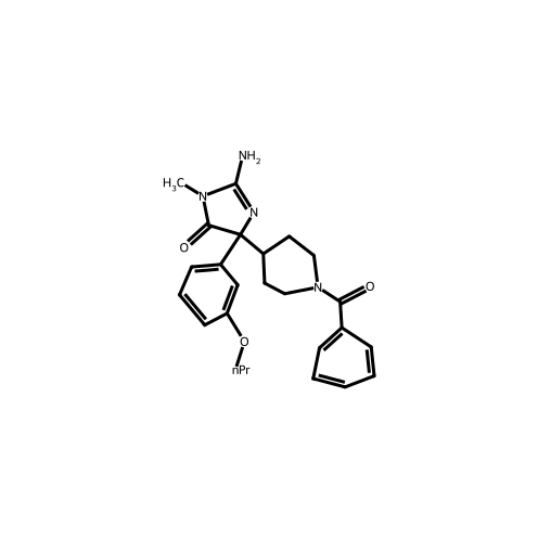 CCCOc1cccc(C2(C3CCN(C(=O)c4ccccc4)CC3)N=C(N)N(C)C2=O)c1